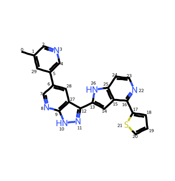 Cc1cncc(-c2cnc3[nH]nc(-c4cc5c(-c6cccs6)nccc5[nH]4)c3c2)c1